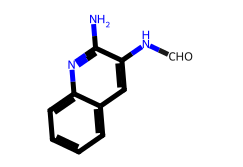 Nc1nc2ccccc2cc1NC=O